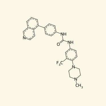 CN1CCN(c2ccc(NC(=O)Nc3ccc(-c4cccc5cnccc45)cc3)cc2C(F)(F)F)CC1